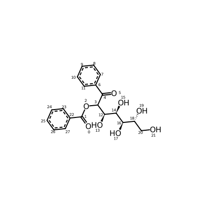 O=C(OC(C(=O)c1ccccc1)[C@H](O)[C@@H](O)[C@H](O)[C@H](O)CO)c1ccccc1